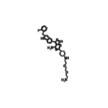 NCCOCCOCCNC1CCC(c2nc(N)c3c(-c4ccc5[nH]c(Cc6ccccc6F)cc5c4)n[nH]c3n2)CC1